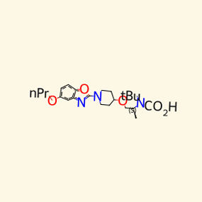 CCCOc1ccc2oc(N3CCC(OC[C@H](C)N(C(=O)O)C(C)(C)C)CC3)nc2c1